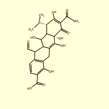 CN(C)[C@@H]1C(O)=C(C(N)=O)C(=O)[C@@]2(O)C(O)=C3Cc4c(ccc(C(=O)O)c4O)C(C=O)C3C(O)C12